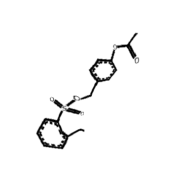 CC(=O)Oc1ccc(COS(=O)(=O)c2ccccc2C)cc1